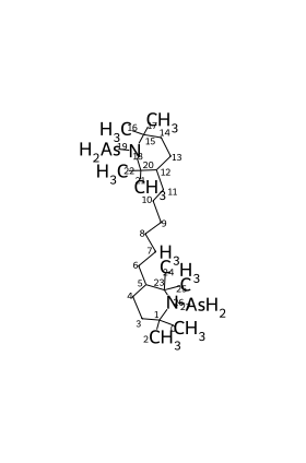 CC1(C)CCC(CCCCCCC2CCC(C)(C)N([AsH2])C2(C)C)C(C)(C)N1[AsH2]